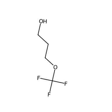 OCCCOC(F)(F)F